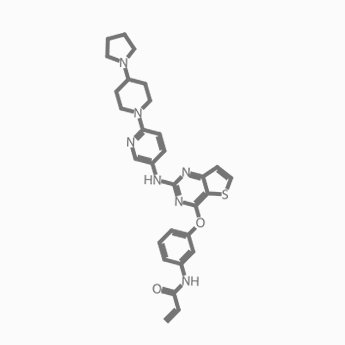 C=CC(=O)Nc1cccc(Oc2nc(Nc3ccc(N4CCC(N5CCCC5)CC4)nc3)nc3ccsc23)c1